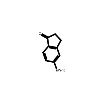 CCCCCc1ccc2c(c1)CCC2=O